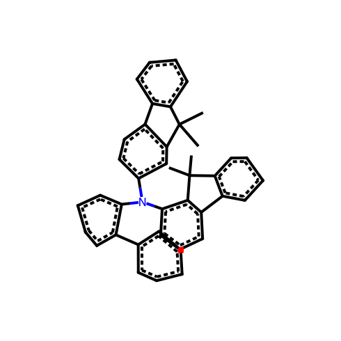 CC1(C)c2ccccc2-c2ccc(N(c3ccccc3-c3ccccc3)c3cccc4c3C(C)(C)c3ccccc3-4)cc21